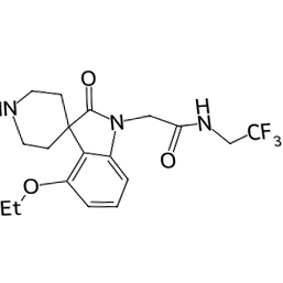 CCOc1cccc2c1C1(CCNCC1)C(=O)N2CC(=O)NCC(F)(F)F